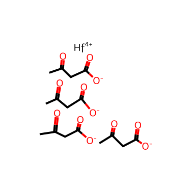 CC(=O)CC(=O)[O-].CC(=O)CC(=O)[O-].CC(=O)CC(=O)[O-].CC(=O)CC(=O)[O-].[Hf+4]